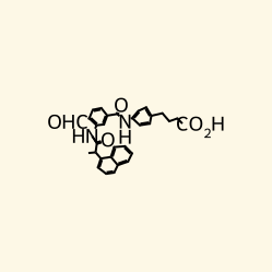 CC(C(=O)Nc1cc(C(=O)Nc2ccc(CCCC(=O)O)cc2)ccc1C=O)c1cccc2ccccc12